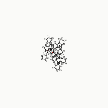 c1ccc(N2c3ccccc3B3c4c2cccc4N(c2ccccc2)c2cc4c5ccccc5n5c6ccc7c(c6c(c23)c45)N(c2ccccc2)c2cccc3c2B7c2ccccc2N3c2ccccc2)cc1